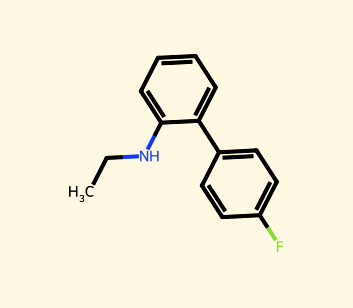 CCNc1ccccc1-c1ccc(F)cc1